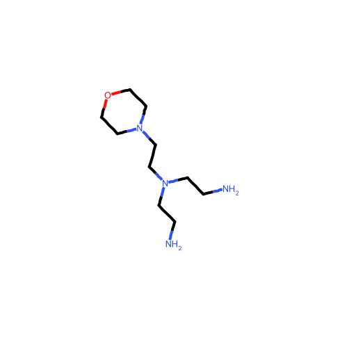 NCCN(CCN)CCN1CCOCC1